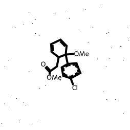 COC(=O)CC1C=CC=CC1(OC)c1ccc(Cl)cc1